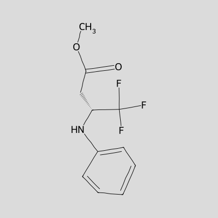 COC(=O)C[C@@H](Nc1ccccc1)C(F)(F)F